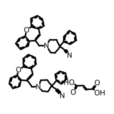 N#CC1(c2ccccc2)CCN(CC2=Cc3ccccc3Oc3ccccc32)CC1.N#CC1(c2ccccc2)CCN(CC2=Cc3ccccc3Oc3ccccc32)CC1.O=C(O)/C=C/C(=O)O